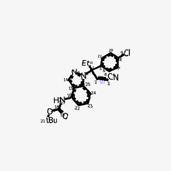 CCC(/C=C\C#N)(c1ccc(Cl)cc1)n1ncc2c(NC(=O)OC(C)(C)C)cccc21